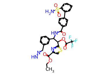 CCOC(=O)c1csc(C(OC(=O)C(F)(F)F)C(NC(=O)c2ccc(-c3ccccc3S(N)(=O)=O)cc2)c2cccc(CN=N)c2)n1